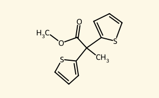 COC(=O)C(C)(c1cccs1)c1cccs1